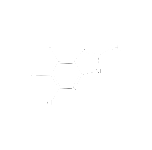 Cc1cc2c(F)c(Cl)c(Cl)nc2[nH]1